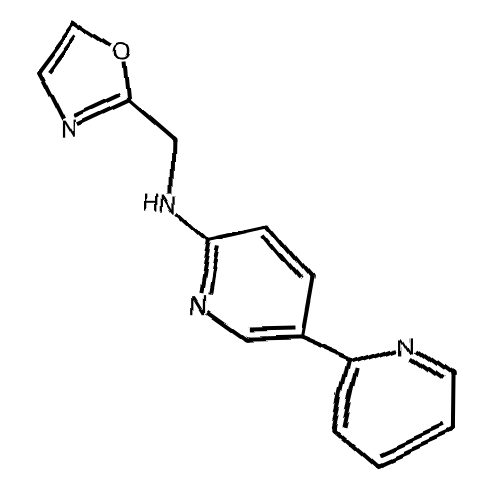 c1ccc(-c2ccc(NCc3ncco3)nc2)nc1